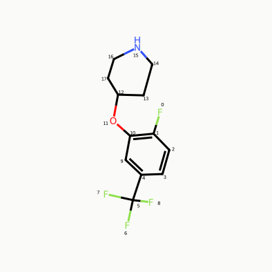 Fc1ccc(C(F)(F)F)cc1OC1CCNCC1